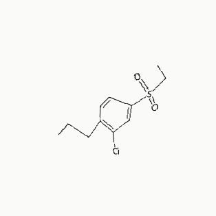 CCCc1ccc(S(=O)(=O)CC)cc1Cl